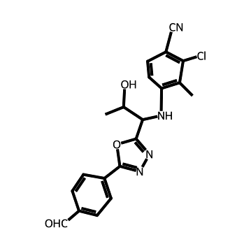 Cc1c(NC(c2nnc(-c3ccc(C=O)cc3)o2)C(C)O)ccc(C#N)c1Cl